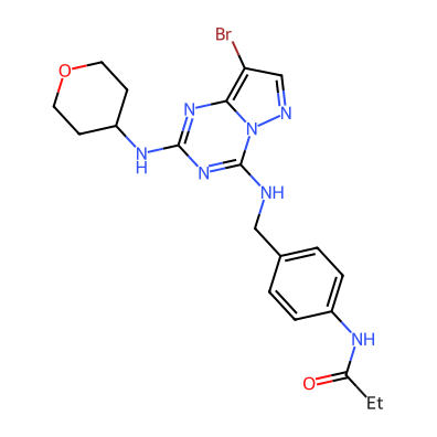 CCC(=O)Nc1ccc(CNc2nc(NC3CCOCC3)nc3c(Br)cnn23)cc1